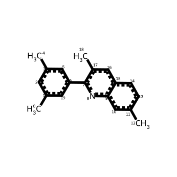 Cc1cc(C)cc(-c2nc3cc(C)ccc3cc2C)c1